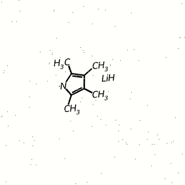 CC1=C(C)C(C)=C(C)[N]1.[LiH]